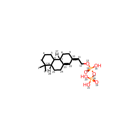 CC1(C)CCCC2[C@@H]3CC/C(=C/COP(=O)(O)OP(=O)(O)O)C=C3CC[C@@H]21